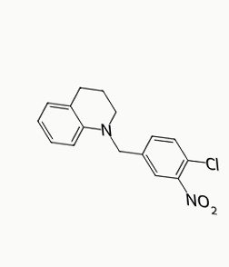 O=[N+]([O-])c1cc(CN2CCCc3ccccc32)ccc1Cl